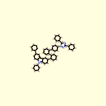 c1ccc(-c2ccc3c(c2)c2cc(-c4ccccc4-c4ccccc4-c4ccc(-n5nc(-c6ccccc6)nc5-c5ccccc5)cc4)ccc2n3-c2ccccc2)cc1